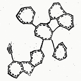 N#Cc1cccc2oc3ccc(-c4cc(-c5ccccc5)c5c(c4-c4ccccc4)-c4cccc6cccc-5c46)cc3c12